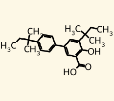 CCC(C)(C)c1ccc(-c2cc(C(=O)O)c(O)c(C(C)(C)CC)c2)cc1